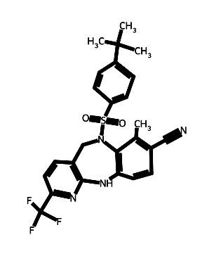 Cc1c(C#N)ccc2c1N(S(=O)(=O)c1ccc(C(C)(C)C)cc1)Cc1ccc(C(F)(F)F)nc1N2